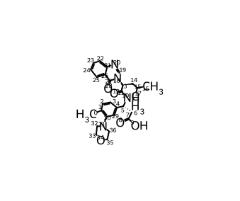 Cc1ccc([C@@H](CC(=O)O)NC(=O)[C@H](CC(C)C)n2cnc3ccccc3c2=O)cc1N1CCOCC1